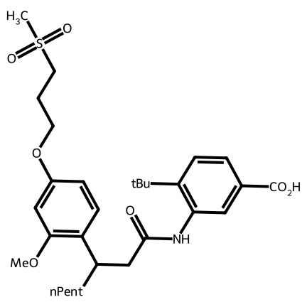 CCCCCC(CC(=O)Nc1cc(C(=O)O)ccc1C(C)(C)C)c1ccc(OCCCS(C)(=O)=O)cc1OC